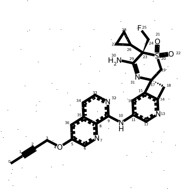 CC#CCOc1cnc2c(Nc3cnc4c(c3)[C@]3(C4)CS(=O)(=O)[C@@](CF)(C4CC4)C(N)=N3)nccc2c1